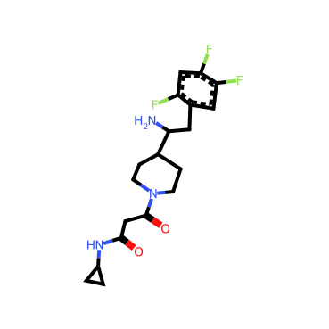 NC(Cc1cc(F)c(F)cc1F)C1CCN(C(=O)CC(=O)NC2CC2)CC1